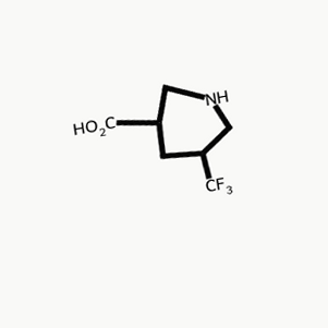 O=C(O)C1CNCC(C(F)(F)F)C1